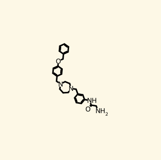 NCC(=O)Nc1cccc(CN2CCCN(Cc3ccc(OCc4ccccc4)cc3)CC2)c1